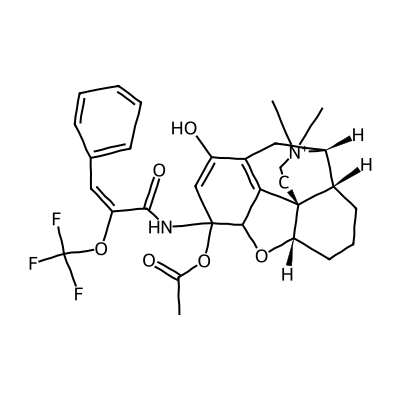 CC(=O)OC1(NC(=O)C(=Cc2ccccc2)OC(F)(F)F)C=C(O)C2=C3C1O[C@H]1CCC[C@H]4[C@@H](C2)[N+](C)(C)CC[C@]314